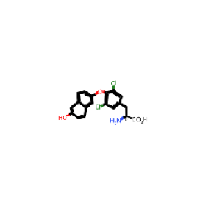 N[C@@H](Cc1cc(Cl)c(Oc2ccc3cc(O)ccc3c2)c(Cl)c1)C(=O)O